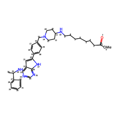 COC(=O)CCCCCCCNC1CCN(Cc2ccc(-c3cc4c(NC(C)c5ccccc5)ncnc4[nH]3)cc2)CC1